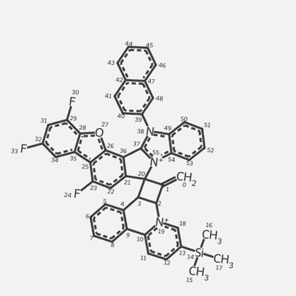 C=C1C2C(c3ccccc3-c3ccc([Si](C)(C)C)c[n+]32)C12c1cc(F)c3c(oc4c(F)cc(F)cc43)c1-c1n(-c3ccc4ccccc4c3)c3ccccc3[n+]12